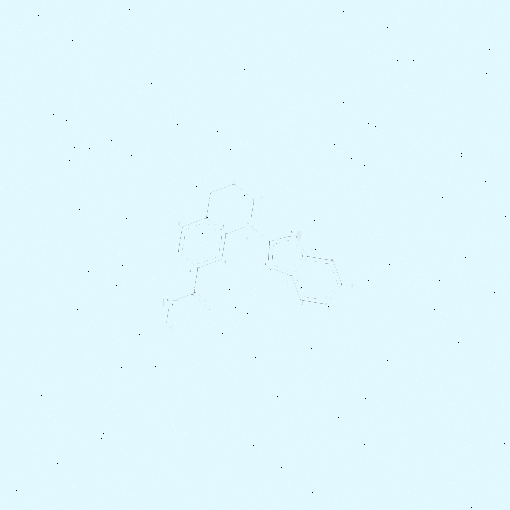 O=C(NO)c1ccc2c(c1)N(c1nc3ccccc3[nH]1)CCC2